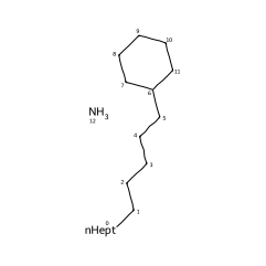 CCCCCCCCCCCCC1CCCCC1.N